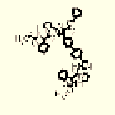 COC(=O)N[C@@H](C(=O)N1CCCC1c1nc(C(=O)OCc2ccccc2)c(-c2ccc(-c3ccc(-c4cnc([C@@H]5CCCN5C(=O)[C@H](NC(=O)OC)c5ccccc5)[nH]4)cc3)cc2)[nH]1)c1ccccc1